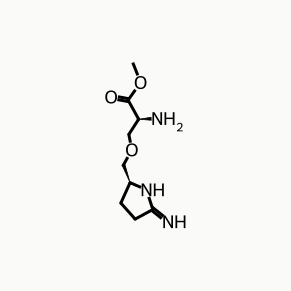 COC(=O)[C@@H](N)COC[C@@H]1CCC(=N)N1